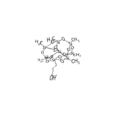 C[Si]12O[Si]3(C)O[Si]4(C)O[Si](C)(O1)O[Si]1(C)O[Si](C)(O2)O[Si](C)(O3)O[Si](CCO)(O4)O1